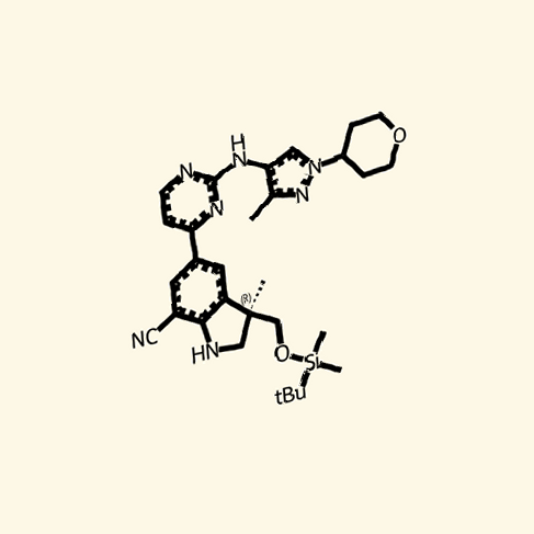 Cc1nn(C2CCOCC2)cc1Nc1nccc(-c2cc(C#N)c3c(c2)[C@@](C)(CO[Si](C)(C)C(C)(C)C)CN3)n1